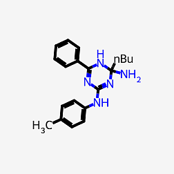 CCCCC1(N)N=C(Nc2ccc(C)cc2)N=C(c2ccccc2)N1